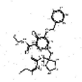 C=C(/N=C\CC)NC1(Cn2cc(OCc3ccccc3)c(=O)c(C(=O)OCC)n2)CCCC1